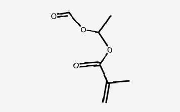 C=C(C)C(=O)OC(C)O[C]=O